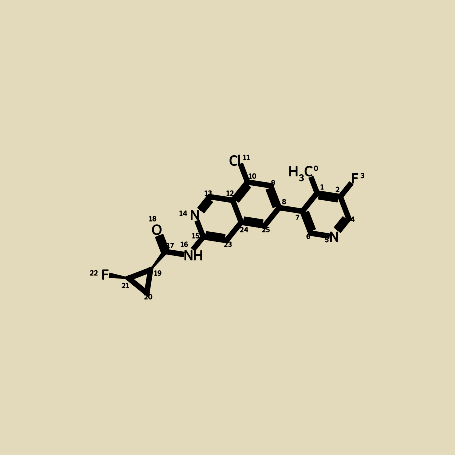 Cc1c(F)cncc1-c1cc(Cl)c2cnc(NC(=O)[C@H]3C[C@H]3F)cc2c1